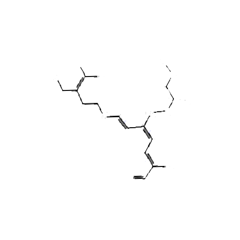 CCC(CCN/C=C/C(=C\C=C(/C)C=O)NS[C@@H](C)COBr)=C(F)F